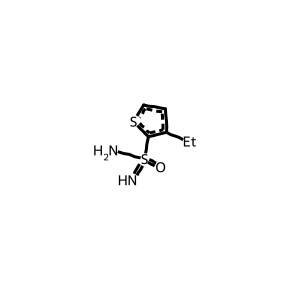 CCc1ccsc1S(=N)(N)=O